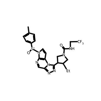 CCC1CN(C(=O)NCC(F)(F)F)CC1c1nnc2cnc3c(ccn3[S+]([O-])c3ccc(C)cc3)n12